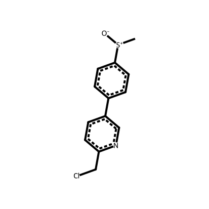 C[S+]([O-])c1ccc(-c2ccc(CCl)nc2)cc1